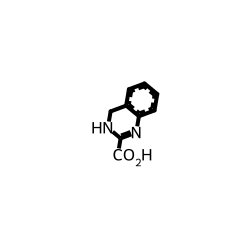 O=C(O)C1=Nc2ccccc2CN1